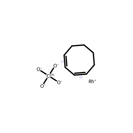 C1=C\CCCC\C=C/1.[O-][Cl+3]([O-])([O-])[O-].[Rh+]